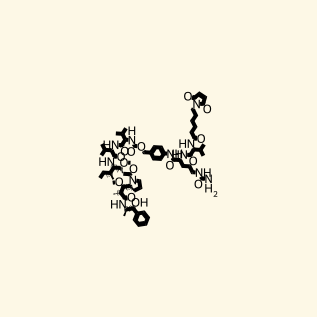 CC[C@H](C)[C@H](NC(=O)C(NC(=O)C(NC(=O)OCc1ccc(NC(=O)C(CCCNC(N)=O)NC(=O)C(NC(=O)CCCCCN2C(=O)C=CC2=O)C(C)C)cc1)C(C)C)C(C)C)[C@@H](CC(=O)N1CCC[C@H]1[C@H](OC)[C@@H](C)C(=O)N[C@H](C)[C@@H](O)c1ccccc1)OC